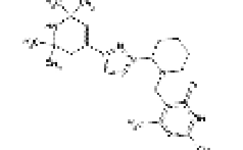 Cc1cc(C)c(CN2CCCCC2n2ccc(C3=CC(C)(C)NC(C)(C)C3)n2)c(=O)[nH]1